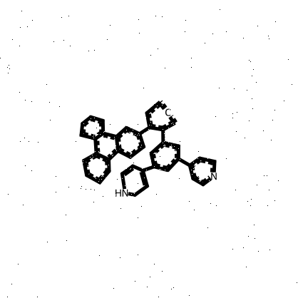 C1=CC(c2cc(-c3ccncc3)cc(-c3ccccc3-c3ccc4c5ccccc5c5ccccc5c4c3)c2)=CCN1